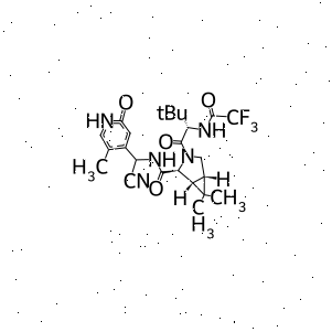 Cc1c[nH]c(=O)cc1C(C#N)NC(=O)[C@@H]1[C@@H]2[C@H](CN1C(=O)[C@@H](NC(=O)C(F)(F)F)C(C)(C)C)C2(C)C